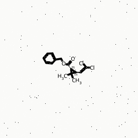 CC1(C)[C@H](C=C(Cl)Cl)[C@H]1C(=O)OCc1ccccc1